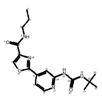 CCCNC(=O)c1coc(-c2ccnc(NC(=O)OC(C)(C)C)c2)n1